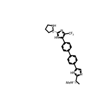 CN[C@@H](C)c1ncc(-c2ccc(-c3ccc(-c4[nH]c([C@@H]5CCCN5)nc4C(F)(F)F)cc3)cc2)[nH]1